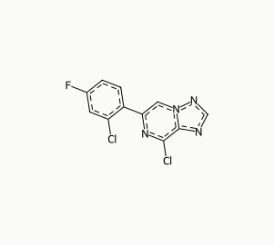 Fc1ccc(-c2cn3ncnc3c(Cl)n2)c(Cl)c1